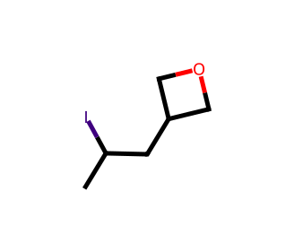 CC(I)CC1COC1